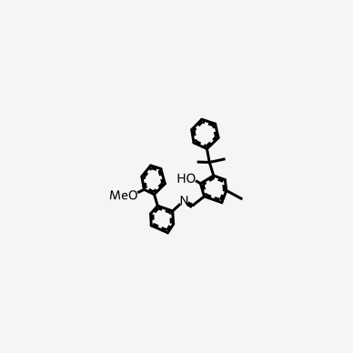 COc1ccccc1-c1ccccc1/N=C/c1cc(C)cc(C(C)(C)c2ccccc2)c1O